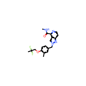 CNC(=O)c1nccc2nn(Cc3ccc(OCC(C)(F)F)c(C)c3)cc12